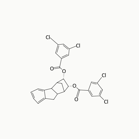 O=C(O[C@@H]1C2CC(C3c4ccccc4CC32)[C@@H]1OC(=O)c1cc(Cl)cc(Cl)c1)c1cc(Cl)cc(Cl)c1